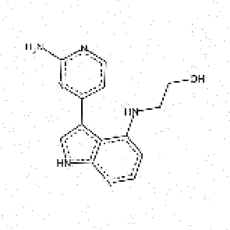 Nc1nccc(-c2c[nH]c3nccc(NCCO)c23)n1